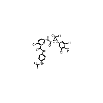 COc1c(Cl)cc([C@H]2[C@H](C(=O)Nc3ccc(Cl)c(C(=O)Nc4ccc(NC(C)=O)cc4)c3)C2(Cl)Cl)cc1Cl